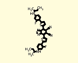 CCC(C)Nc1ccc(-c2ccc(-c3c(C#N)c(C#N)c(-c4ccc(-c5ccc(NC(C)CC)cc5F)s4)c4nsnc34)s2)c(F)c1